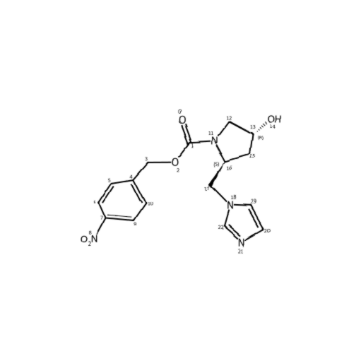 O=C(OCc1ccc([N+](=O)[O-])cc1)N1C[C@H](O)C[C@H]1Cn1ccnc1